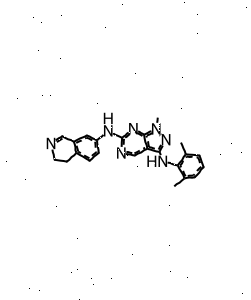 Cc1cccc(C)c1Nc1nn(C)c2nc(Nc3ccc4c(c3)C=NCC4)ncc12